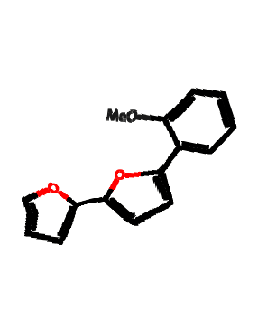 COc1ccccc1-c1ccc(-c2ccco2)o1